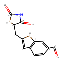 O=Cc1ccc2cc(CC3SC(=O)NC3=O)sc2c1